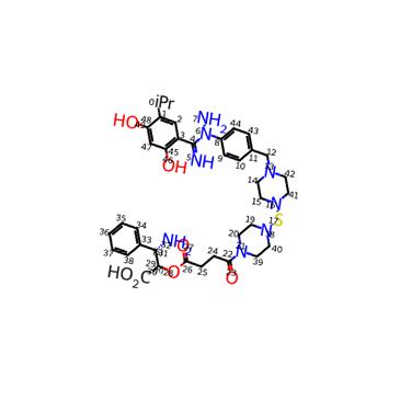 CC(C)c1cc(C(=N)N(N)c2ccc(CN3CCN(SN4CCN(C(=O)CCC(=O)O[C@@H](C(=O)O)[C@@H](N)c5ccccc5)CC4)CC3)cc2)c(O)cc1O